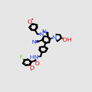 COc1ccc(Cn2ncc3c(N4CC[C@@H](O)C4)cc(-c4ccc(CNC(=O)c5cc(F)ccc5OC)cc4)c(C#N)c32)cc1